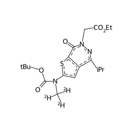 [2H]C([2H])([2H])N(C(=O)OC(C)(C)C)c1cc2c(C(C)C)nn(CC(=O)OCC)c(=O)c2s1